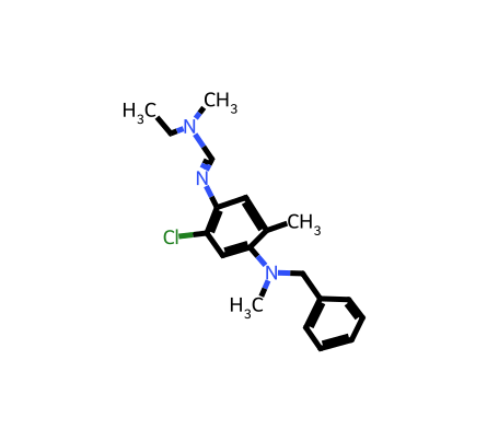 CCN(C)C=Nc1cc(C)c(N(C)Cc2ccccc2)cc1Cl